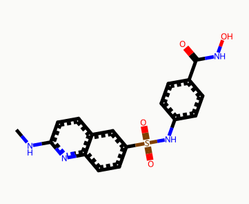 CNc1ccc2cc(S(=O)(=O)Nc3ccc(C(=O)NO)cc3)ccc2n1